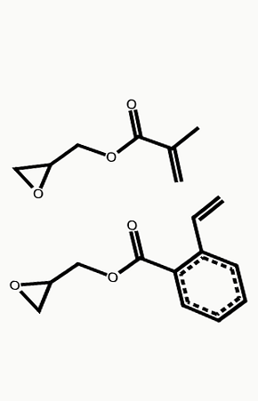 C=C(C)C(=O)OCC1CO1.C=Cc1ccccc1C(=O)OCC1CO1